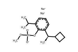 CO[PH]([O-])([O-])Oc1c(C(C)C)cccc1[C@H](C)C1CCC1.[Na+].[Na+]